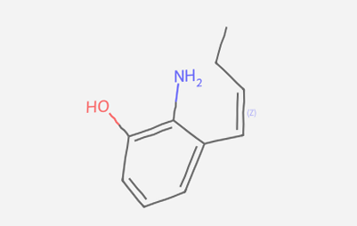 CC/C=C\c1cccc(O)c1N